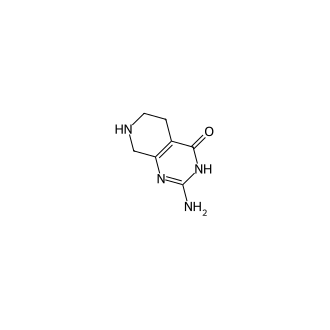 Nc1nc2c(c(=O)[nH]1)CCNC2